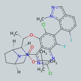 C[C@@H]1Oc2c(Cl)c(-c3c(F)ccc4cnn(C)c34)c(F)c3nc(Cl)nc(c23)N2C[C@H]3CC[C@@H]([C@@H]12)N3C(=O)OC(C)(C)C